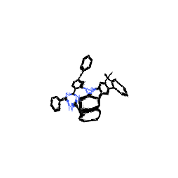 CC1(C)c2ccccc2-c2cc3c4ccccc4n(-c4cc(-c5ccccc5)ccc4-c4nc(-c5ccccc5)nc(-c5ccccc5)n4)c3cc21